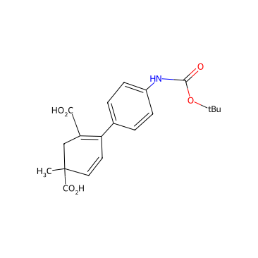 CC(C)(C)OC(=O)Nc1ccc(C2=C(C(=O)O)CC(C)(C(=O)O)C=C2)cc1